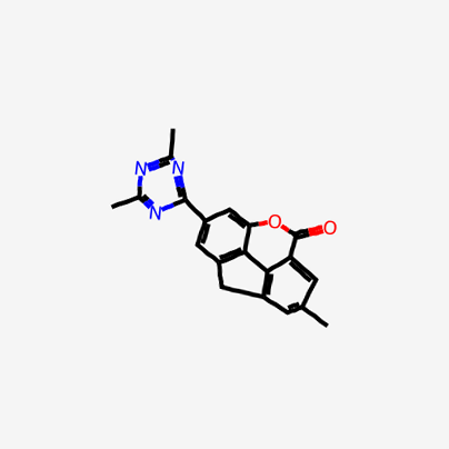 Cc1cc2c3c(c1)c(=O)oc1cc(-c4nc(C)nc(C)n4)cc(c13)C2